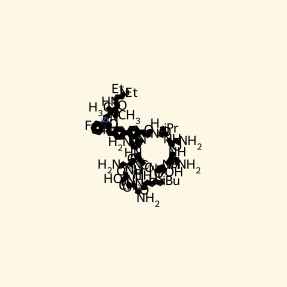 CCC(C)CCCCC(=O)N[C@@H](CCN)C(=O)N[C@H](C(=O)N[C@@H](CCN)C(=O)N[C@H]1CCNC(=O)[C@H]([C@@H](C)O)NC(=O)[C@H](CCN)NC(=O)[C@H](CCN)NC(=O)[C@H](CC(C)C)NC(=O)C(Cc2ccc(-c3ccc(CN4C(=O)/C(=C\c5[nH]c(C)c(C(=O)NCCN(CC)CC)c5C)c5cc(F)ccc54)cc3)cc2)NC(=O)C(CCN)NC1=O)[C@@H](C)O